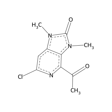 CC(=O)c1nc(Cl)cc2c1n(C)c(=O)n2C